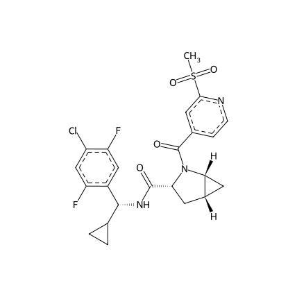 CS(=O)(=O)c1cc(C(=O)N2[C@@H](C(=O)N[C@@H](c3cc(F)c(Cl)cc3F)C3CC3)C[C@H]3C[C@H]32)ccn1